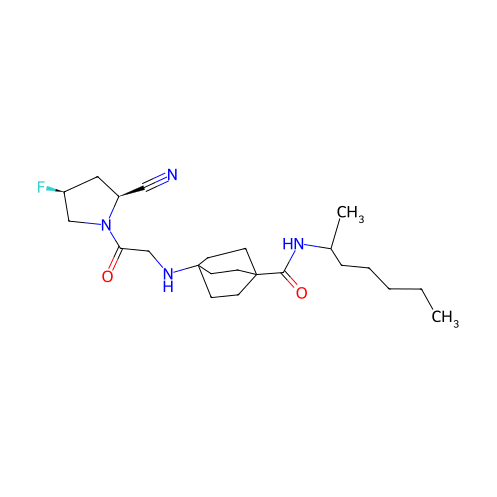 CCCCCC(C)NC(=O)C12CCC(NCC(=O)N3C[C@@H](F)C[C@H]3C#N)(CC1)CC2